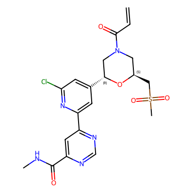 C=CC(=O)N1C[C@@H](CS(C)(=O)=O)O[C@H](c2cc(Cl)nc(-c3cc(C(=O)NC)ncn3)c2)C1